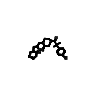 CC(C)(C(=O)N1CCN(Cc2cc3cnccc3[nH]2)C(=O)C1)c1ccc(Cl)cc1